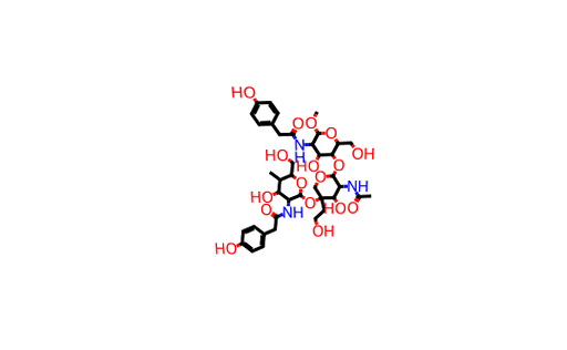 COC1OC(CO)C(OC2OCC(CCO)(OC3OC(CO)C(C)C(O)C3NC(=O)Cc3ccc(O)cc3)C(O)C2NC(C)=O)C(O)C1NC(=O)Cc1ccc(O)cc1